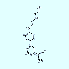 CC(C)CCNCCOc1ccc(-c2cncc(C(N)=O)c2)cc1